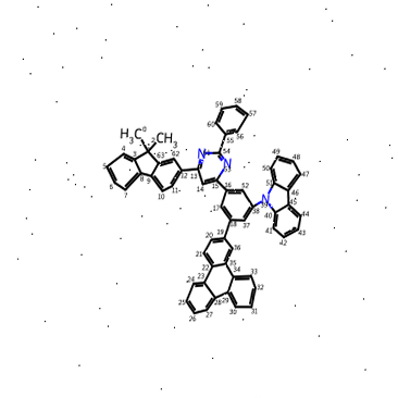 CC1(C)c2ccccc2-c2ccc(-c3cc(-c4cc(-c5ccc6c7ccccc7c7ccccc7c6c5)cc(-n5c6ccccc6c6ccccc65)c4)nc(-c4ccccc4)n3)cc21